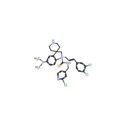 CN(C)c1ccc2c(c1)C1(CCNCC1)C[N+]2(C/C=C/c1ccc(Cl)c(Cl)c1)C(=O)NCc1ccnc(Cl)c1